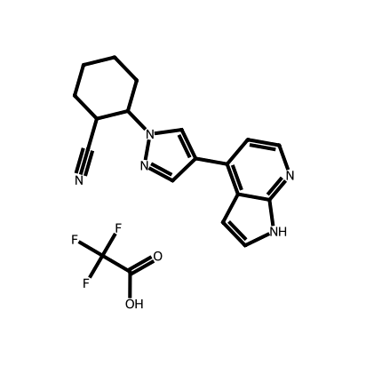 N#CC1CCCCC1n1cc(-c2ccnc3[nH]ccc23)cn1.O=C(O)C(F)(F)F